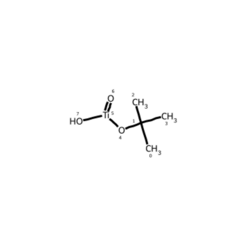 CC(C)(C)[O][Ti](=[O])[OH]